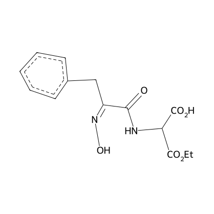 CCOC(=O)C(NC(=O)C(Cc1ccccc1)=NO)C(=O)O